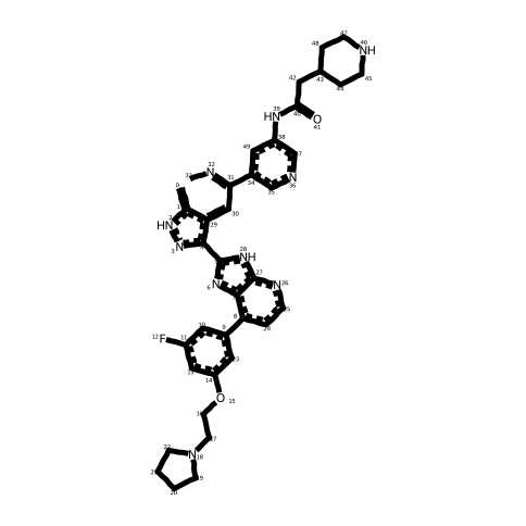 C=c1[nH]nc(-c2nc3c(-c4cc(F)cc(OCCN5CCCC5)c4)ccnc3[nH]2)/c1=C/C(=N\C)c1cncc(NC(=O)CC2CCNCC2)c1